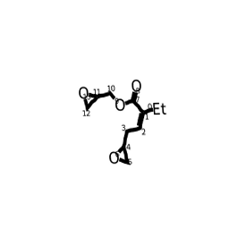 CCC(=CCC1CO1)C(=O)OCC1CO1